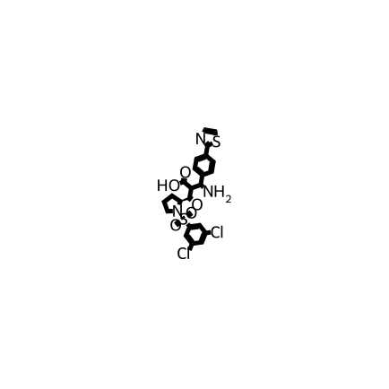 NC(c1ccc(-c2nccs2)cc1)C(C(=O)O)C(=O)[C@@H]1CCCN1S(=O)(=O)c1cc(Cl)cc(Cl)c1